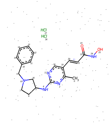 Cc1nc(NC2CCN(Cc3ccccc3)C2)ncc1/C=C/C(=O)NO.Cl.Cl